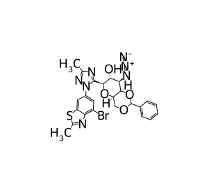 Cc1nc([C@@H]2O[C@@H]3COC(c4ccccc4)O[C@@H]3[C@H](N=[N+]=[N-])[C@H]2O)n(-c2cc(Br)c3nc(C)sc3c2)n1